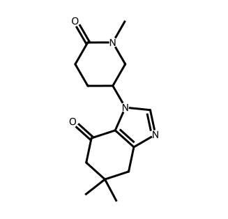 CN1CC(n2cnc3c2C(=O)CC(C)(C)C3)CCC1=O